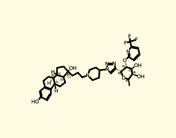 C[C@H]1O[C@H](c2cn(C3CCN(CCC[C@]4(O)CC[C@H]5[C@@H]6CCc7cc(O)ccc7[C@H]6CC[C@@]54C)CC3)nn2)[C@H](Oc2cccc(C(F)(F)F)n2)[C@@H](O)[C@H]1O